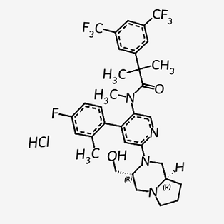 Cc1cc(F)ccc1-c1cc(N2C[C@H]3CCCN3C[C@@H]2CO)ncc1N(C)C(=O)C(C)(C)c1cc(C(F)(F)F)cc(C(F)(F)F)c1.Cl